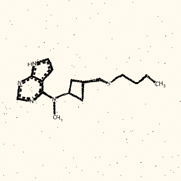 CCCCSCC1CC(N(C)c2ncnc3[nH]ccc23)C1